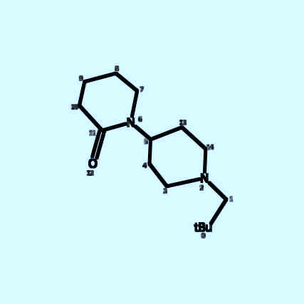 CC(C)(C)CN1CCC(N2CCCCC2=O)CC1